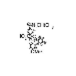 COc1ccc(-c2nc(C3(C(=O)O)CCN(C(=O)N(C)O)CC3)oc2-c2ccc(F)cc2)cc1